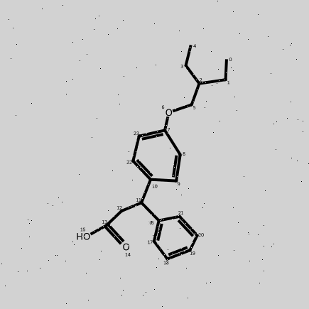 CCC(CC)COc1ccc(C(CC(=O)O)c2ccccc2)cc1